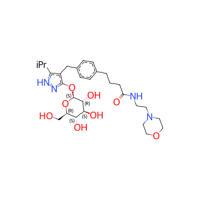 CC(C)c1[nH]nc(O[C@@H]2O[C@H](CO)[C@@H](O)[C@H](O)[C@H]2O)c1Cc1ccc(CCCC(=O)NCCN2CCOCC2)cc1